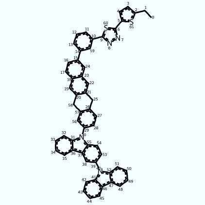 CCc1ccc(-c2nnc(-c3cccc(-c4ccc5cc6c(cc5c4)Cc4ccc(-n5c7ccccc7c7cc(-n8c9ccccc9c9ccccc98)ccc75)cc4C6)c3)s2)s1